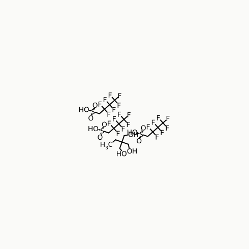 CCC(CO)(CO)CO.O=S(=O)(O)CC(F)(F)C(F)(F)C(F)(F)F.O=S(=O)(O)CC(F)(F)C(F)(F)C(F)(F)F.O=S(=O)(O)CC(F)(F)C(F)(F)C(F)(F)F